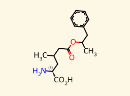 CC(CC(=O)OC(C)Cc1ccccc1)C[C@H](N)C(=O)O